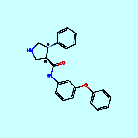 O=C(Nc1cccc(Oc2ccccc2)c1)[C@H]1CNC[C@@H]1c1ccccc1